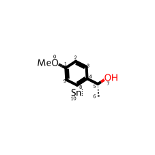 COc1ccc([C@@H](C)O)cc1.[Sn]